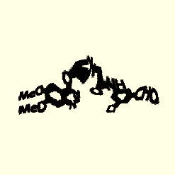 COc1cc2ncnc(Oc3cnn(CC(=O)Nc4cc(Cl)cc(C=O)c4)c3)c2cc1OC